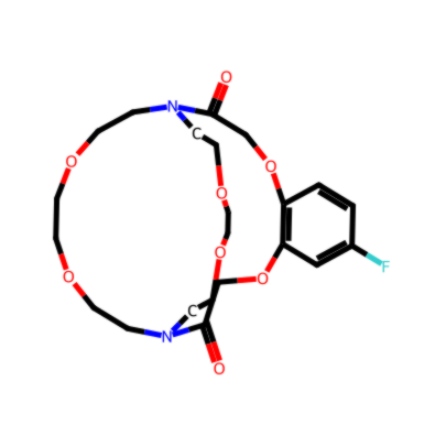 O=C1COc2ccc(F)cc2OCC(=O)N2CCOCCOCCN1CCOCCOCC2